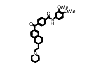 COc1ccc(NC(=O)c2ccc(C(=O)c3ccc4c(c3)CCC(CCN3CCCCC3)C4)cc2)cc1OC